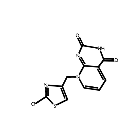 O=c1nc2n(Cc3csc(Cl)n3)cccc-2c(=O)[nH]1